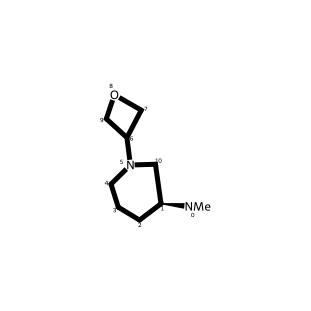 CN[C@H]1CCCN(C2COC2)C1